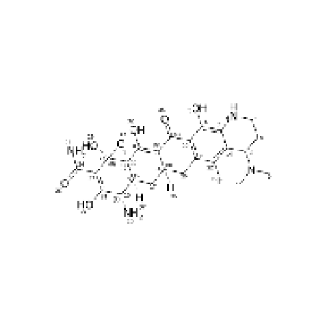 CN(C)C1CCNc2c(O)c3c(c(F)c21)C[C@H]1C[C@H]2[C@H](N)C(O)=C(C(N)=O)[C@@]4(O)O[C@]24C(O)=C1C3=O